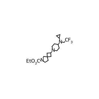 CCOC(=O)N1CCC2(CC(N3CCC(N(CC(F)(F)F)C4CC4)CC3)C2)C1